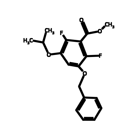 COC(=O)c1c(F)c(OCc2ccccc2)cc(OC(C)C)c1F